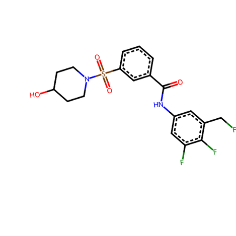 O=C(Nc1cc(F)c(F)c(CF)c1)c1cccc(S(=O)(=O)N2CCC(O)CC2)c1